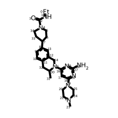 CCNC(=O)N1CCC(c2ccc3c(c2)CN(c2cc(N4CCN(C)CC4)nc(N)n2)C(C)C3)CC1